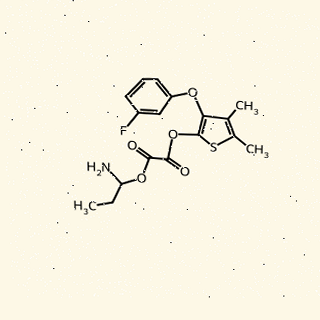 CCC(N)OC(=O)C(=O)Oc1sc(C)c(C)c1Oc1cccc(F)c1